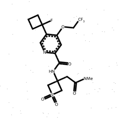 CNC(=O)CC1(NC(=O)c2cc(OCC(F)(F)F)c(C3(F)CCC3)cn2)CS(=O)(=O)C1